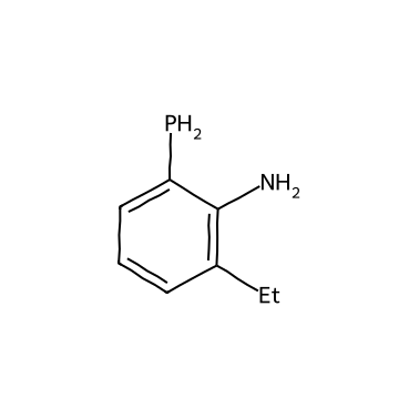 CCc1cccc(P)c1N